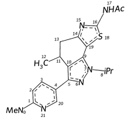 CNc1ccc(-c2nn(C(C)C)c3c2C(C)Cc2nc(NC(C)=O)sc2-3)cn1